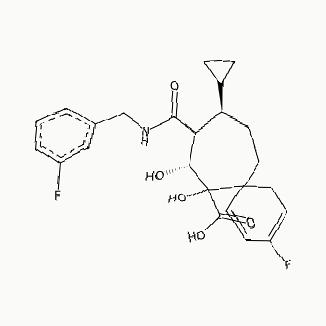 O=C(NCc1cccc(F)c1)C1[C@@H](C2CC2)CCC2(C=CC(F)=CC2)C(O)(C(=O)O)[C@@H]1O